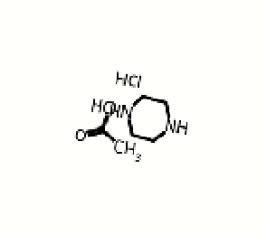 C1CNCCN1.CC(=O)O.Cl